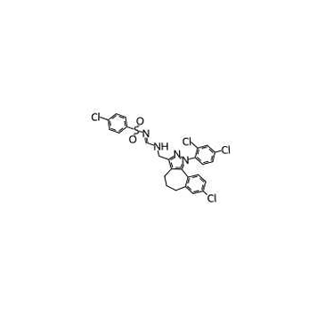 O=S(=O)(N=CNCc1nn(-c2ccc(Cl)cc2Cl)c2c1CCCc1cc(Cl)ccc1-2)c1ccc(Cl)cc1